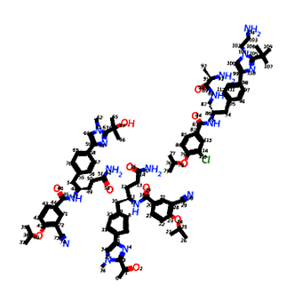 CC(=O)c1nc(-c2ccc(C[C@@H](CCC(N)=O)NC(=O)c3ccc(OC(C)C)c(C#N)c3)cc2)cn1C.CC(C)Oc1ccc(C(=O)N[C@H](CCC(N)=O)Cc2ccc(-c3cn(C)c(C(C)(C)O)n3)cc2)cc1C#N.CC(C)Oc1ccc(C(=O)N[C@H](CNC(=O)[C@@H](C)N)Cc2ccc(-c3cn(CCN)c(C(C)(C)C)n3)cc2)cc1Cl